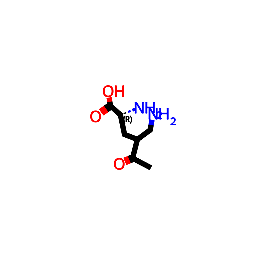 CC(=O)C(CN)C[C@@H](N)C(=O)O